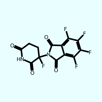 O=C1CCC(F)(N2C(=O)c3c(F)c(F)c(F)c(F)c3C2=O)C(=O)N1